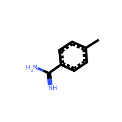 Cc1ccc(C(=N)N)cc1